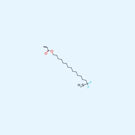 C=CC(=O)OCCCCCCCCCCCCCCC(F)(F)[SiH3]